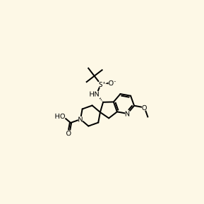 COc1ccc2c(n1)CC1(CCN(C(=O)O)CC1)[C@@H]2N[S@+]([O-])C(C)(C)C